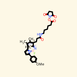 COc1ccc(-c2ccc3n2B(F)/N=C(C)/C(CCC(=O)NCCCCCC(=O)ON2C(=O)CCC2=O)=C(C)\C(C)=C\3)cc1